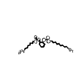 CC(C)CCCCCCCCCOC(=O)OC1CCCCC1OC(=O)OCCCCCCCC(C)C